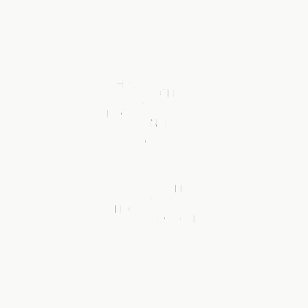 COC(C)(C)CCONC(C)(C)C